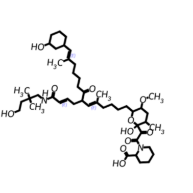 COC1CC(C)C(O)(C(=O)C(=O)N2CCCCC2C(=O)O)OC1CCCC/C(C)=C/C(C/C=C/C(=O)NCC(C)(C)CCO)C(=O)CCCC/C(C)=C/C1CCCC(O)C1